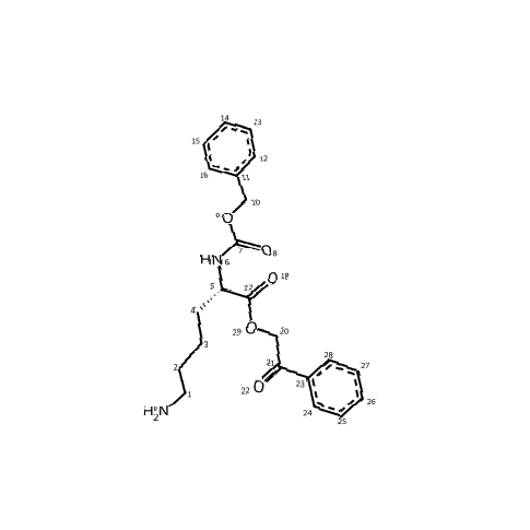 NCCCC[C@H](NC(=O)OCc1ccccc1)C(=O)OCC(=O)c1ccccc1